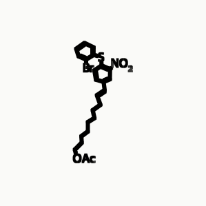 CC(=O)OCCCCCCCC/C=C/c1ccc(Sc2ccccc2Br)c([N+](=O)[O-])c1